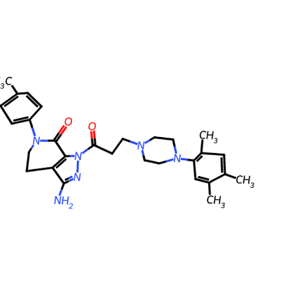 Cc1ccc(N2CCc3c(N)nn(C(=O)CCN4CCN(c5cc(C)c(C)cc5C)CC4)c3C2=O)cc1